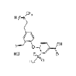 CN(C)CCc1ccc(Oc2ccc(C(=O)O)cc2S(C)(=O)=O)c(C=S)c1.Cl